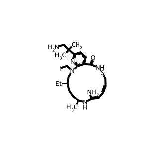 CC[C@@H]1CCC(C)N/C(N)=C/C=C\CSNC(=O)c2ccc(C(C)(C)CN)nc2N(CI)C1